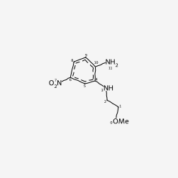 COCCNc1cc([N+](=O)[O-])ccc1N